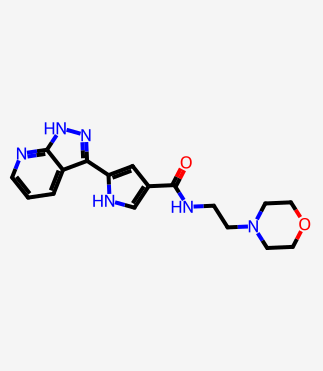 O=C(NCCN1CCOCC1)c1c[nH]c(-c2n[nH]c3ncccc23)c1